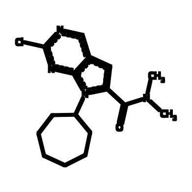 CN(C)C(=O)c1cc2cnc(Cl)nc2n1C1CCCCCC1